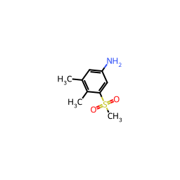 Cc1cc(N)cc(S(C)(=O)=O)c1C